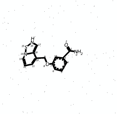 NC(=O)c1cccc(OCC2=CC=CN3SNC=C23)c1